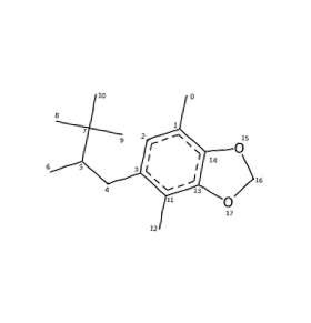 Cc1cc(CC(C)C(C)(C)C)c(C)c2c1OCO2